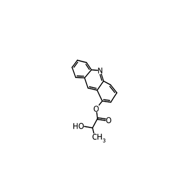 CC(O)C(=O)Oc1cccc2nc3ccccc3cc12